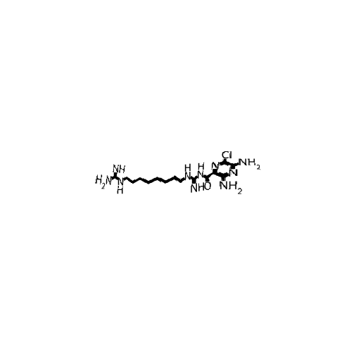 N=C(N)NCCCCCCCCNC(=N)NC(=O)c1nc(Cl)c(N)nc1N